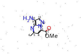 COC(=O)c1cc(C)nc2c(N)cnn12